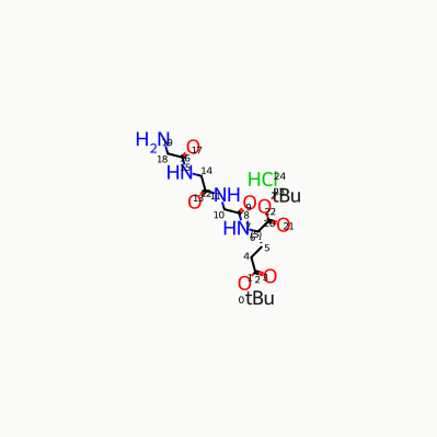 CC(C)(C)OC(=O)CC[C@H](NC(=O)CNC(=O)CNC(=O)CN)C(=O)OC(C)(C)C.Cl